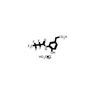 O=C(O)Cc1ccc(O)c(NC(=O)C(F)(F)C(F)(F)C(F)(F)F)c1.O=C([O-])O.[Na+]